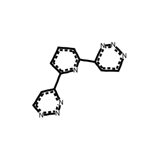 c1cc(-c2ccnnn2)nc(-c2ccnnn2)c1